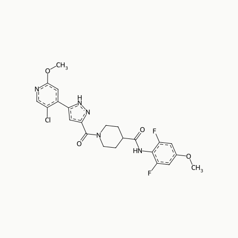 COc1cc(F)c(NC(=O)C2CCN(C(=O)c3cc(-c4cc(OC)ncc4Cl)[nH]n3)CC2)c(F)c1